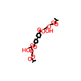 C=C(C)C(=O)OCCOCC(O)COC(=O)c1ccc(-c2ccc(C(=O)OC(CO)COCCOC(=O)C(=C)C)cc2)cc1